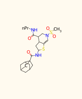 CCCNC(=O)C1CN(S(C)(=O)=O)C=C2SC(NC(=O)C34CC5CC(CC3C5)C4)CC21